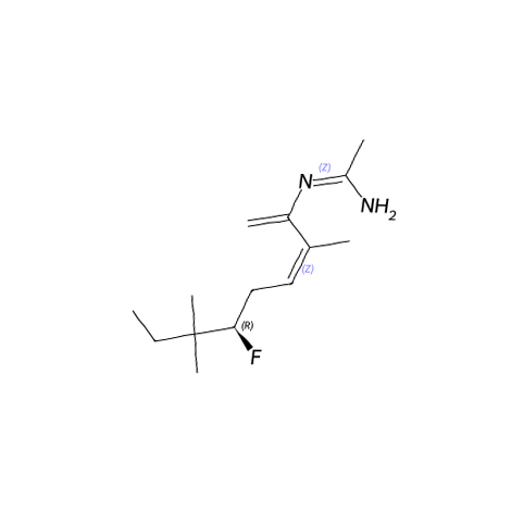 C=C(/N=C(/C)N)/C(C)=C\C[C@@H](F)C(C)(C)CC